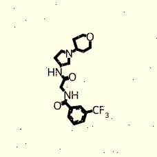 O=C(CNC(=O)c1cccc(C(F)(F)F)c1)N[C@@H]1CCN(C2CCOCC2)C1